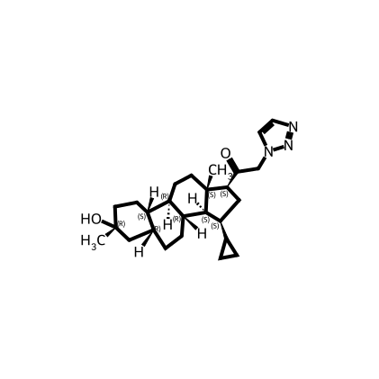 C[C@@]1(O)CC[C@H]2[C@H](CC[C@@H]3[C@@H]2CC[C@@]2(C)[C@H]3[C@H](C3CC3)C[C@@H]2C(=O)Cn2ccnn2)C1